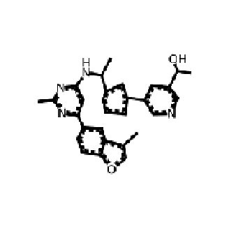 Cc1nc(NC(C)c2cccc(-c3cncc(C(C)O)c3)c2)cc(-c2ccc3occ(C)c3c2)n1